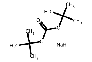 CC(C)(C)OC(=O)OC(C)(C)C.[NaH]